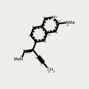 CC#C/C(=C\NC)c1ccc2cnc(NC)cc2c1